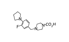 O=C(O)N1CCN(Cc2ccc(N3CCCC3)c(F)c2)CC1